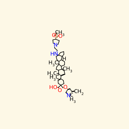 C=C/C=C(\C=N/C)OCC1(C(=O)O)CC=C(C2=CCC3(C)C(CCC4(C)C5CCC6(NCCN7CCC(S(C)(=O)=O)CC7)CCC[C@@H]6C5CCC43)C2(C)C)CC1